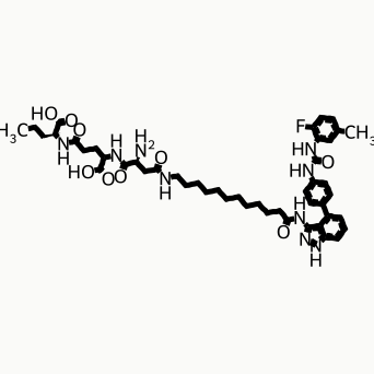 CCC[C@H](NC(=O)CCC(NC(=O)[C@@H](N)CC(=O)NCCCCCCCCCCCC(=O)Nc1n[nH]c2cccc(-c3ccc(NC(=O)Nc4cc(C)ccc4F)cc3)c12)C(=O)O)C(=O)O